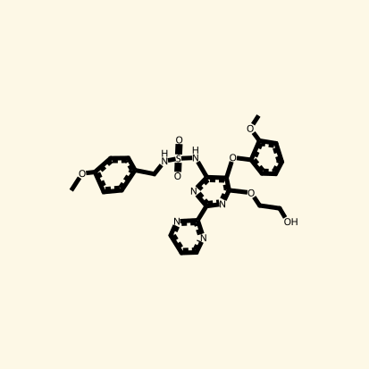 COc1ccc(CNS(=O)(=O)Nc2nc(-c3ncccn3)nc(OCCO)c2Oc2ccccc2OC)cc1